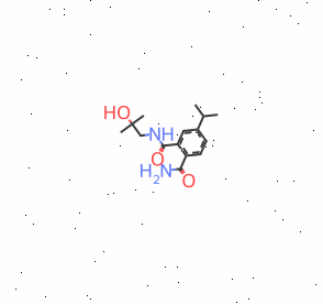 CC(C)c1ccc(C(N)=O)c(C(=O)NCC(C)(C)O)c1